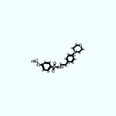 CCCCOc1ccc(S(=O)(=O)NCCc2ccc(N3CCOCC3)cc2)cc1